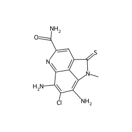 CN1C(=S)c2cc(C(N)=O)nc3c(N)c(Cl)c(N)c1c23